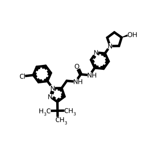 CC(C)(C)c1cc(CNC(=O)Nc2ccc(N3CC[C@@H](O)C3)nc2)n(-c2cccc(Cl)c2)n1